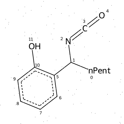 CCCCCC(N=C=O)c1ccccc1O